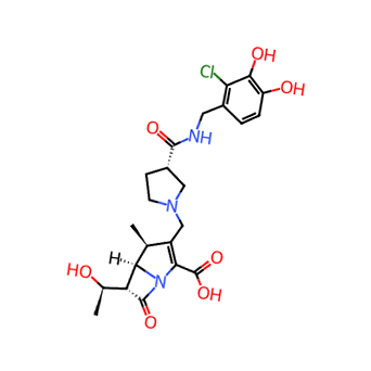 C[C@@H](O)[C@H]1C(=O)N2C(C(=O)O)=C(CN3CC[C@H](C(=O)NCc4ccc(O)c(O)c4Cl)C3)[C@H](C)[C@H]12